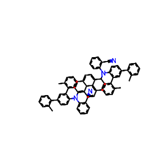 Cc1ccccc1-c1ccc(N(C2=C3C=CC4=C5C(=CC=C(C=C2)C35)C(N(c2ccccc2C#N)c2ccc(-c3ccccc3C)cc2-c2ccccc2C)C=C4)c2ccccc2C#N)c(-c2ccccc2C)c1